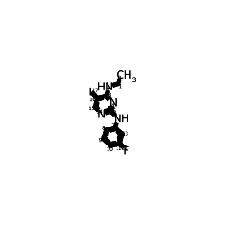 CCNc1nc(Nc2cccc(F)c2)ncc1I